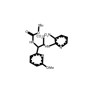 COc1cccc(C(NC(=O)OC(C)(C)C)C(Nc2ncccc2[N+](=O)[O-])C(=O)O)n1